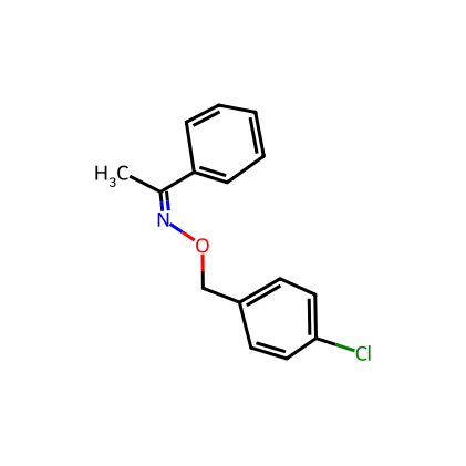 CC(=NOCc1ccc(Cl)cc1)c1ccccc1